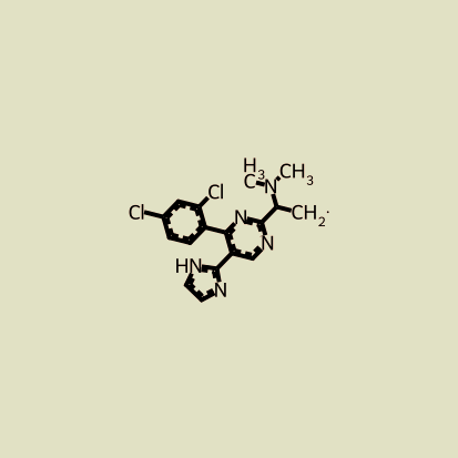 [CH2]C(c1ncc(-c2ncc[nH]2)c(-c2ccc(Cl)cc2Cl)n1)N(C)C